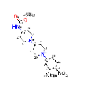 CNc1cc(N2CCC(N3CCC(NC(=O)OC(C)(C)C)CC3)CC2)ccc1[N+](=O)[O-]